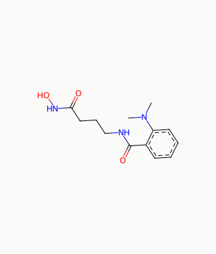 CN(C)c1ccccc1C(=O)NCCCC(=O)NO